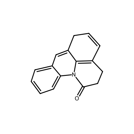 O=C1CCC2=C3C(=Cc4ccccc4N13)CC=C2